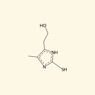 Cc1nc(S)[nH]c1CCO